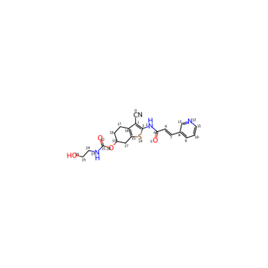 N#Cc1c(NC(=O)/C=C/c2cccnc2)sc2c1CCC(OC(=O)NCCO)C2